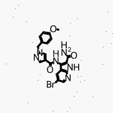 COc1ccc(Cn2cc(C(=O)Nc3c(C(N)=O)[nH]c4ncc(Br)cc34)cn2)cc1